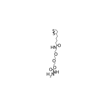 NNC(=O)OCCOCCOCCNC(=O)CCCCC1CCSS1